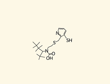 CC(C)(C)C(N(CCSCc1ncccc1S)C(=O)O)C(C)(C)C(C)(C)C